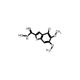 COc1cc2sc(C(=N)NO)cc2c(Cl)c1OC